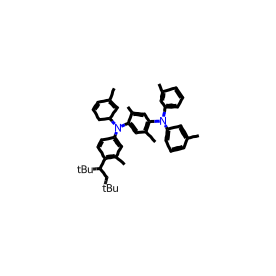 CC1=CC(N(c2ccc(C(CC(C)(C)C)C(C)(C)C)c(C)c2)c2cc(C)c(N(c3cccc(C)c3)c3cccc(C)c3)cc2C)CC=C1